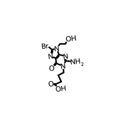 Nc1nc2c(nc(Br)n2CCO)c(=O)n1CCCC(=O)O